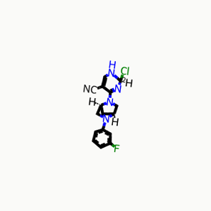 [2H]C1(Cl)N=C(N2C[C@@H]3C[C@H]2CN3c2cccc(F)c2)C(C#N)=CN1